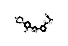 COc1cc(N2CCN(C)CC2)ccc1-c1cc(-c2cccc(C(=O)NC(C)C#N)c2)no1